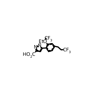 CCn1nc(C(=O)O)cc1-c1ccc(CCC(F)(F)F)cc1OC(F)(F)F